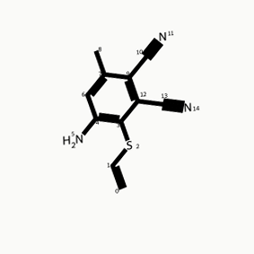 C=CSc1c(N)cc(C)c(C#N)c1C#N